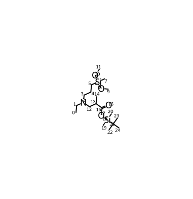 CCN(CCC[Si](C)(OC)OC)CC(C)C(=O)O[Si](C)(C)C(C)(C)C